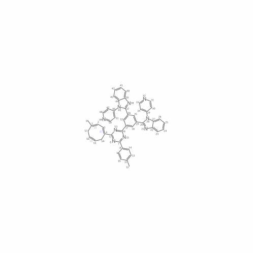 C/C1=C/C=C(/c2nc(-c3ccc(C)cc3)nc(-c3cc(-c4nc5ccccc5n4-c4ccncc4)cc(-c4nc5ccccc5n4-c4ccncc4)c3)n2)C/C=C\C1